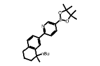 CCCCC1(C)CCCc2ccc(-c3ccc(B4OC(C)(C)C(C)(C)O4)cn3)cc21